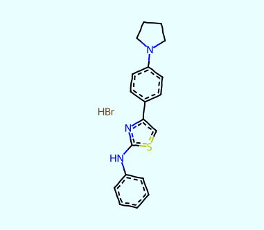 Br.c1ccc(Nc2nc(-c3ccc(N4CCCC4)cc3)cs2)cc1